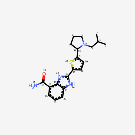 CC(C)CN1CCC[C@@H]1c1ccc(-c2nc3c(C(N)=O)cccc3[nH]2)s1